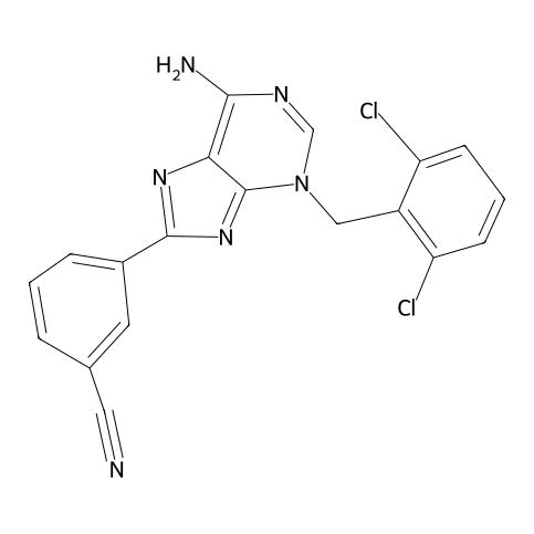 N#Cc1cccc(-c2nc3c(N)ncn(Cc4c(Cl)cccc4Cl)c-3n2)c1